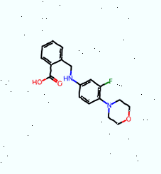 O=C(O)c1ccccc1CNc1ccc(N2CCOCC2)c(F)c1